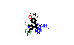 COc1ccc(-c2nc(N)n3nnnc3c2-c2cc(Cl)nc(C(F)(F)F)c2)cc1